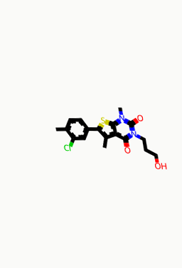 Cc1ccc(-c2sc3c(c2C)c(=O)n(CCCO)c(=O)n3C)cc1Cl